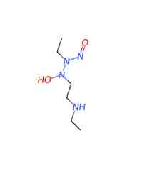 CCNCCN(O)N(CC)N=O